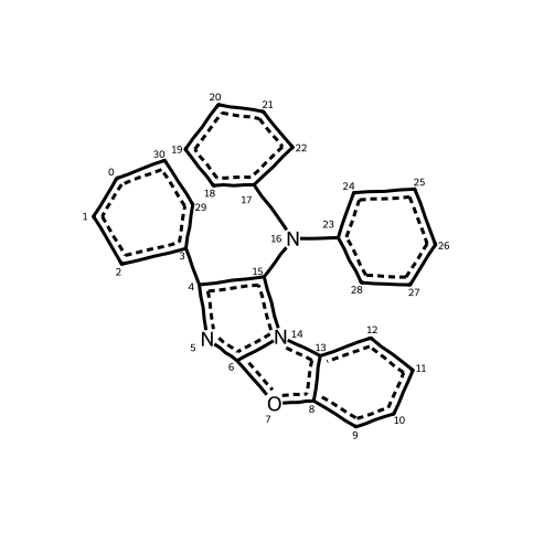 c1ccc(-c2nc3oc4ccccc4n3c2N(c2ccccc2)c2ccccc2)cc1